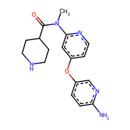 CN(C(=O)C1CCNCC1)c1cc(Oc2ccc(N)nc2)ccn1